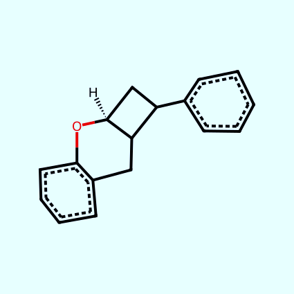 c1ccc(C2C[C@@H]3Oc4ccccc4CC23)cc1